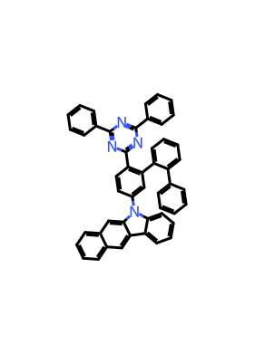 c1ccc(-c2nc(-c3ccccc3)nc(-c3ccc(-n4c5ccccc5c5cc6ccccc6cc54)cc3-c3ccccc3-c3ccccc3)n2)cc1